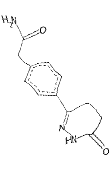 NC(=O)Cc1ccc(C2=NNC(=O)CC2)cc1